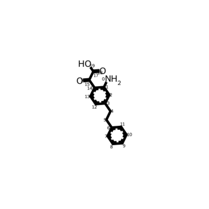 Nc1cc(CCc2ccccc2)ccc1C(=O)C(=O)O